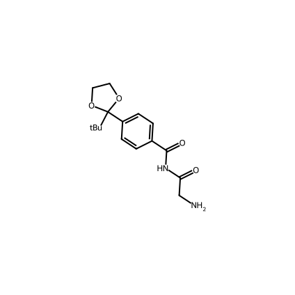 CC(C)(C)C1(c2ccc(C(=O)NC(=O)CN)cc2)OCCO1